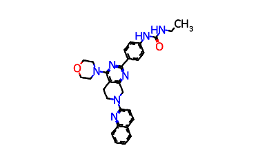 CCNC(=O)Nc1ccc(-c2nc3c(c(N4CCOCC4)n2)CCN(c2ccc4ccccc4n2)C3)cc1